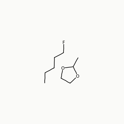 CC1OCCO1.CCCCCF